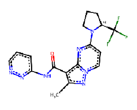 Cc1nn2ccc(N3CCC[C@H]3C(F)(F)F)nc2c1C(=O)Nc1cccnn1